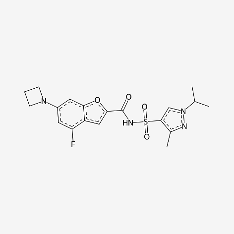 Cc1nn(C(C)C)cc1S(=O)(=O)NC(=O)c1cc2c(F)cc(N3CCC3)cc2o1